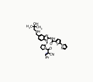 CC(C)/C=C(\C#N)C(=O)N1CCC[C@@H]1Cn1c(NC(=O)c2ccc(-n3cccn3)s2)nc2cc(CNCC(C)(C)O)ccc21